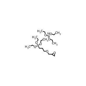 CCO[SiH](OCC)OCC.CCO[Si](CCCOCC1CO1)(OCC)OCC